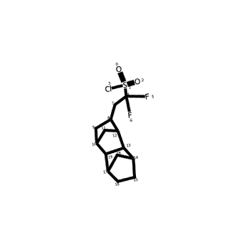 O=S(=O)(Cl)C(F)(F)CC1CC2CC1C1C3CCC(C3)C21